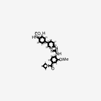 COc1cc(C(=O)N2CCC2)ccc1Nc1nc2ccc(-c3ccc(NC(=O)O)cc3)cn2n1